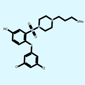 CSCCCN1CCN(S(=O)(=O)c2cc(C#N)ccc2Sc2cc(Cl)cc(Cl)c2)CC1